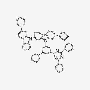 c1ccc(-c2cc(-c3nc(-c4ccccc4)nc(-c4ccccc4)n3)cc(-n3c4cc(-c5ccccc5)ccc4c4ccc(-n5c6ccccc6c6ccc(-c7ccccc7)cc65)cc43)c2)cc1